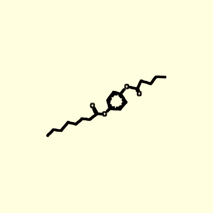 CCCCCCCC(=O)Oc1ccc(OC(=O)CCCC)cc1